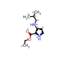 CCOC(=O)c1[nH]ccc1NCC(C)C